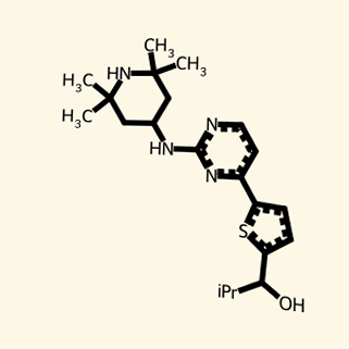 CC(C)C(O)c1ccc(-c2ccnc(NC3CC(C)(C)NC(C)(C)C3)n2)s1